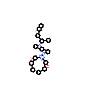 c1ccc(-c2cc(-c3ccc4sc5cc6ccccc6cc5c4c3)cc(-n3c4ccccc4c4cc5c(cc43)c3ccccc3n5-c3nc(-c4ccc5oc6ccc(-c7ccccc7)cc6c5c4)nc(-c4ccc5oc6ccc(-c7ccccc7)cc6c5c4)n3)c2)cc1